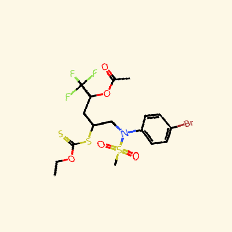 CCOC(=S)SC(CC(OC(C)=O)C(F)(F)F)CN(c1ccc(Br)cc1)S(C)(=O)=O